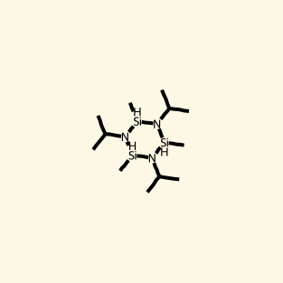 CC(C)N1[SiH](C)N(C(C)C)[SiH](C)N(C(C)C)[SiH]1C